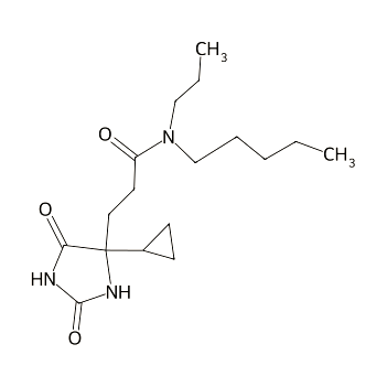 CCCCCN(CCC)C(=O)CCC1(C2CC2)NC(=O)NC1=O